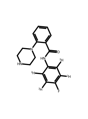 [2H]c1c([2H])c(NC(=O)c2ccccc2N2CCNCC2)c([2H])c([2H])c1F